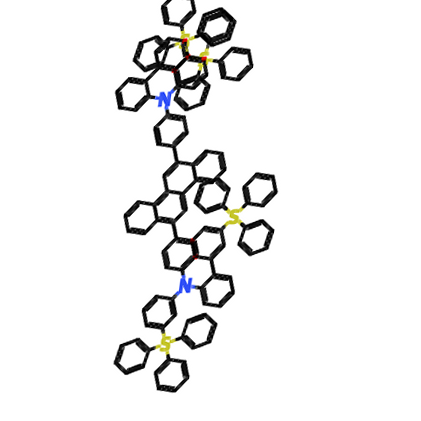 c1ccc(S(c2ccccc2)(c2ccccc2)c2cccc(-c3ccccc3N(c3ccc(-c4cc5c6ccccc6c(-c6ccc(N(c7cccc(S(c8ccccc8)(c8ccccc8)c8ccccc8)c7)c7ccccc7-c7cccc(S(c8ccccc8)(c8ccccc8)c8ccccc8)c7)cc6)cc5c5ccccc45)cc3)c3cccc(S(c4ccccc4)(c4ccccc4)c4ccccc4)c3)c2)cc1